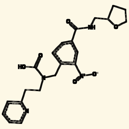 O=C(NCC1CCCO1)c1ccc(CN(CCc2ccccn2)C(=O)O)c([N+](=O)[O-])c1